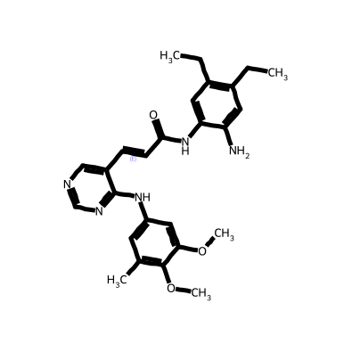 CCc1cc(N)c(NC(=O)/C=C/c2cncnc2Nc2cc(C)c(OC)c(OC)c2)cc1CC